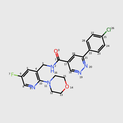 O=C(NCc1cc(F)cnc1N1CCOCC1)c1cnnc(-c2ccc(Cl)cc2)c1